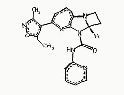 Cc1noc(C)c1-c1ccc2c(n1)N(C(=O)Nc1ccccn1)[C@H]1CCN21